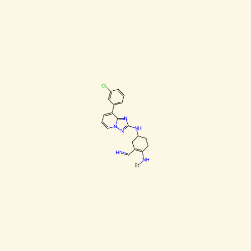 CCNC1=C(C=N)CC(Nc2nc3c(-c4cccc(Cl)c4)cccn3n2)CC1